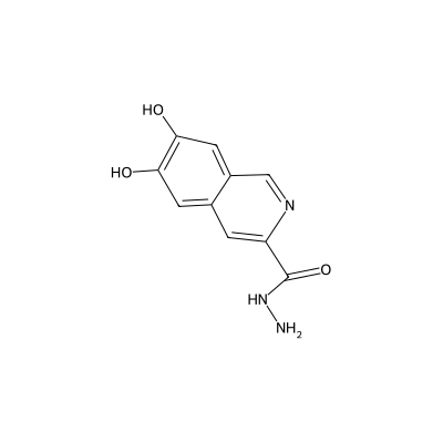 NNC(=O)c1cc2cc(O)c(O)cc2cn1